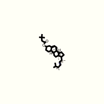 CC(C)[C@@H](C)/C=C/[C@@H](C)C1CC[C@H]2C3=CC=C4CC(OC(=O)CC(C)(C)C)CC[C@]4(C)[C@H]3CC[C@]12C